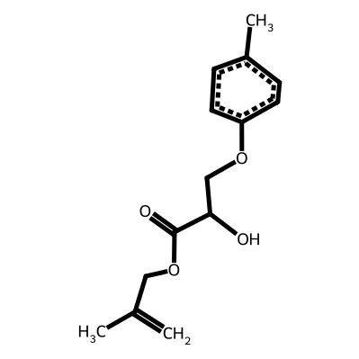 C=C(C)COC(=O)C(O)COc1ccc(C)cc1